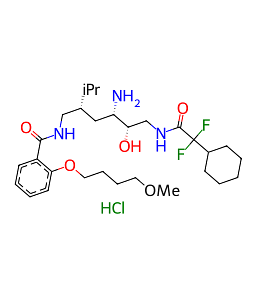 COCCCCOc1ccccc1C(=O)NC[C@@H](C[C@H](N)[C@@H](O)CNC(=O)C(F)(F)C1CCCCC1)C(C)C.Cl